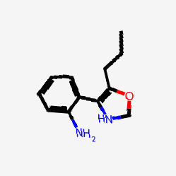 CCCC1=C(c2ccccc2N)NCO1